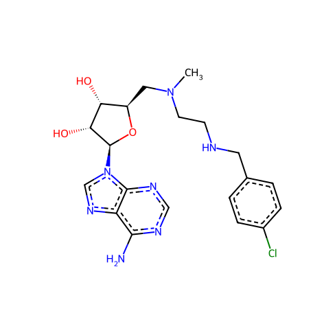 CN(CCNCc1ccc(Cl)cc1)C[C@H]1O[C@@H](n2cnc3c(N)ncnc32)[C@H](O)[C@@H]1O